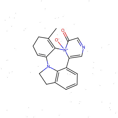 CC1=C2C(=CCC1)N1CCc3cccc(c31)C1=CN=CC(=O)[N+]12[O-]